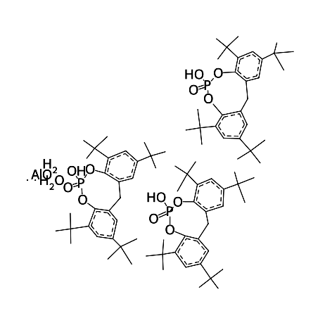 CC(C)(C)c1cc2c(c(C(C)(C)C)c1)OP(=O)(O)Oc1c(cc(C(C)(C)C)cc1C(C)(C)C)C2.CC(C)(C)c1cc2c(c(C(C)(C)C)c1)OP(=O)(O)Oc1c(cc(C(C)(C)C)cc1C(C)(C)C)C2.CC(C)(C)c1cc2c(c(C(C)(C)C)c1)OP(=O)(O)Oc1c(cc(C(C)(C)C)cc1C(C)(C)C)C2.O.O.[Al]